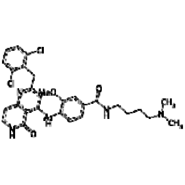 COc1cc(C(=O)NCCCCN(C)C)ccc1[AsH]c1cc(Cc2c(Cl)cccc2Cl)nc2cc[nH]c(=O)c12